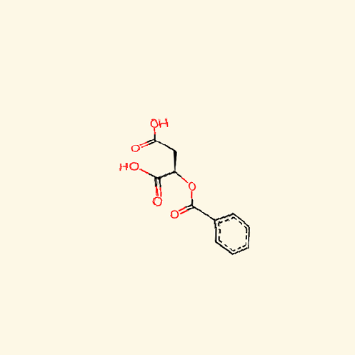 O=C(O)C[C@@H](OC(=O)c1ccccc1)C(=O)O